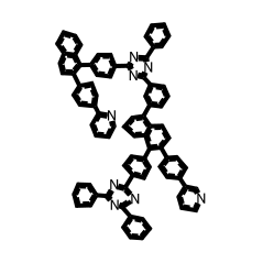 c1ccc(-c2nc(-c3ccccc3)nc(-c3ccc(-c4c(-c5ccc(-c6cccnc6)cc5)ccc5c(-c6cccc(-c7nc(-c8ccccc8)nc(-c8ccc(-c9c(-c%10ccc(-c%11ccccn%11)cc%10)ccc%10ccccc9%10)cc8)n7)c6)cccc45)cc3)n2)cc1